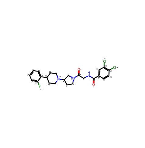 O=C(NCC(=O)N1CCC(N2CCC(c3ccccc3F)CC2)C1)c1ccc(Cl)c(Cl)c1